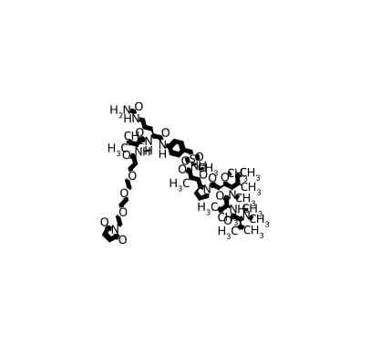 C=C(C)[C@H](NC(=O)CCOCCOCCOCCN1C(=O)C=CC1=O)C(=O)N[C@@H](CCCNC(N)=O)C(=O)Nc1ccc(CS(=O)(=O)NC(=O)[C@H](C)[C@@H](OC)[C@@H]2CCCN2C(=O)C[C@@H](OC)[C@H]([C@@H](C)CC)N(C)C(=O)[C@@H](NC(=O)[C@H](C(C)C)N(C)C)C(C)C)cc1